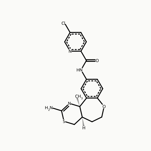 C[C@@]12N=C(N)SC[C@@H]1CCOc1ccc(NC(=O)c3ccc(Cl)cn3)cc12